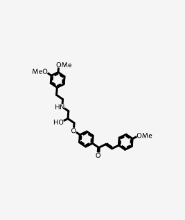 COc1ccc(C=CC(=O)c2ccc(OCC(O)CNCCc3ccc(OC)c(OC)c3)cc2)cc1